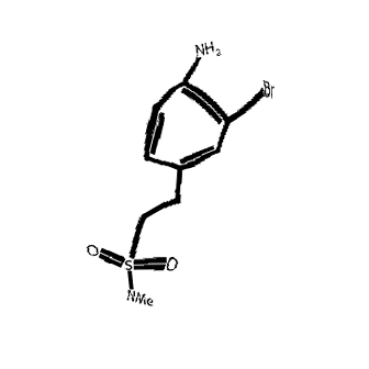 CNS(=O)(=O)CCc1ccc(N)c(Br)c1